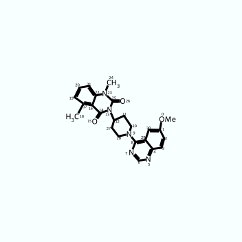 COc1ccc2ncnc(N3CCC(n4c(=O)c5c(C)cccc5n(C)c4=O)CC3)c2c1